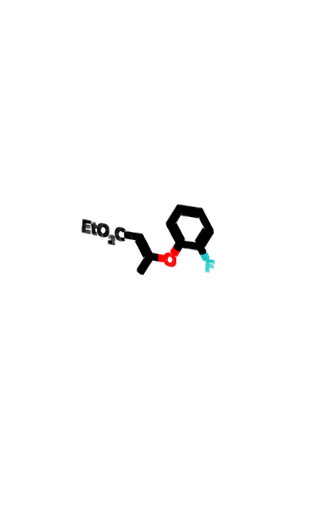 CCOC(=O)C=C(C)Oc1ccccc1F